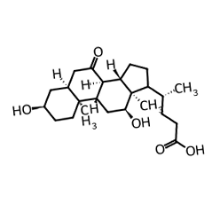 C[C@H](CCC(=O)O)C1CC[C@H]2[C@@H]3C(=O)C[C@@H]4C[C@H](O)CC[C@]4(C)[C@H]3C[C@H](O)[C@]12C